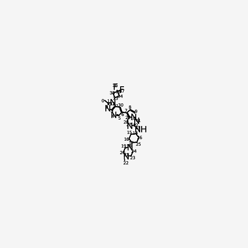 Cc1nc2ncc(-c3ccn4nc(N[C@H]5CC[C@H](N6CCN(C)CC6)CC5)ncc34)cc2n1C1CC(F)(F)C1